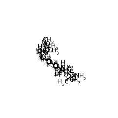 CCC(C)[C@H](OC(N)=O)C(=O)N1CCC[C@H]1c1nc(C(F)(F)F)c(-c2ccc(-c3ccc(-c4cnc(C5CCCN5C(=O)[C@@H](NC(=O)OC)C(C)C)[nH]4)cc3)cc2)[nH]1